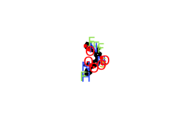 CNC(=O)c1c(-c2ccc(F)cc2)oc2cc(N(C)S(C)(=O)=O)c(-c3ccc(C(F)F)c(-c4nc5c(F)cccc5o4)c3)cc12